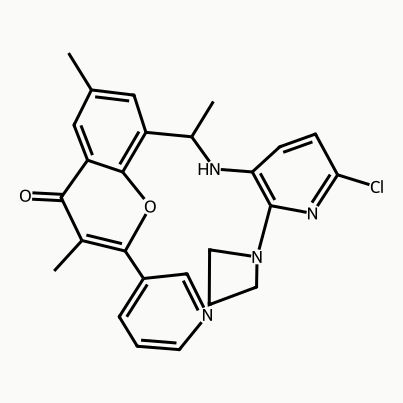 Cc1cc(C(C)Nc2ccc(Cl)nc2N2CCC2)c2oc(-c3cccnc3)c(C)c(=O)c2c1